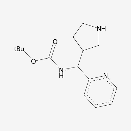 CC(C)(C)OC(=O)N[C@@H](c1ccccn1)C1CCNC1